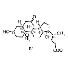 C[C@H](CCC(=O)[O-])[C@H]1CC[C@H]2[C@@H]3C(=O)C[C@@H]4C[C@H](O)CC[C@]4(C)[C@H]3CC[C@]12C.[K+]